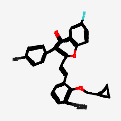 COc1cccc(/C=C/c2oc3ccc(F)cc3c(=O)c2-c2ccc(C#N)cc2)c1OCC1CC1